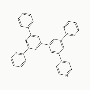 c1ccc(-c2cc(-c3cc(-c4ccncc4)cc(-c4ccccn4)c3)cc(-c3ccccc3)n2)cc1